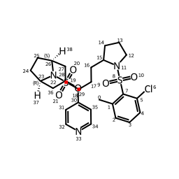 Cc1cccc(Cl)c1S(=O)(=O)N1CCCC1CCCS(=O)(=O)N1[C@@H]2CC[C@H]1CC(Oc1ccncc1)C2